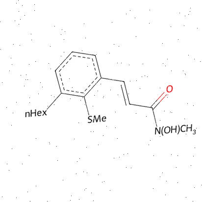 CCCCCCc1cccc(C=CC(=O)N(C)O)c1SC